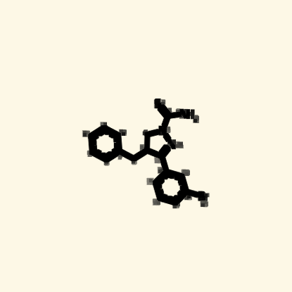 NC(=S)N1CC(Cc2ccccc2)C(c2cccc(Br)c2)=N1